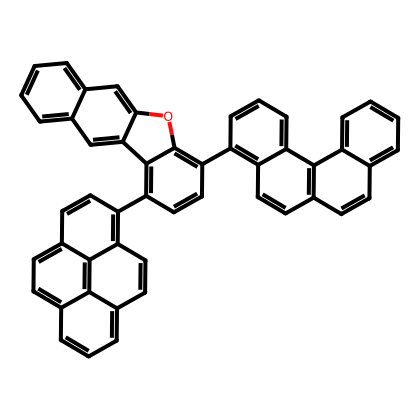 c1ccc2cc3c(cc2c1)oc1c(-c2cccc4c2ccc2ccc5ccccc5c24)ccc(-c2ccc4ccc5cccc6ccc2c4c56)c13